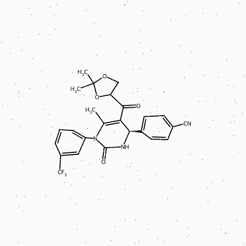 CC1=C(C(=O)C2COC(C)(C)O2)[C@@H](c2ccc(C#N)cc2)NC(=O)N1c1cccc(C(F)(F)F)c1